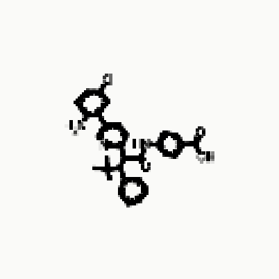 CC(C)(C)C(c1ccccc1)C(C(=O)Nc1ccc(C(=O)O)cc1)c1ccc(-c2cc(Cl)ccc2N)cn1